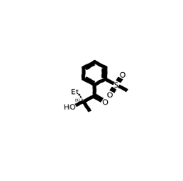 CC[C@](C)(O)C(=O)c1ccccc1S(C)(=O)=O